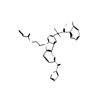 C=CC(=O)OCCn1c2ccc(C(=O)c3cccs3)cc2c2cc(C(O)(I)/C(=N/OC(C)=O)c3ccccc3C)ccc21